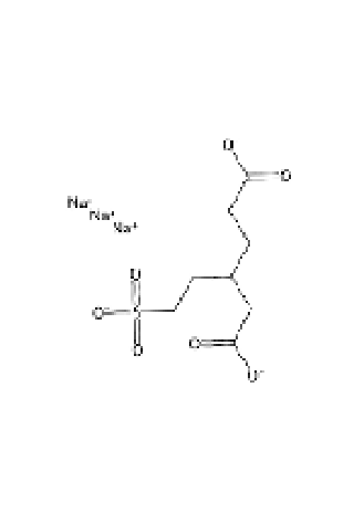 O=C([O-])CCC(CCS(=O)(=O)[O-])CC(=O)[O-].[Na+].[Na+].[Na+]